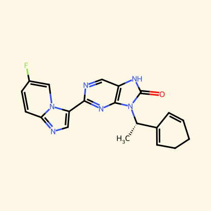 C[C@@H](C1=CCCC=C1)n1c(=O)[nH]c2cnc(-c3cnc4ccc(F)cn34)nc21